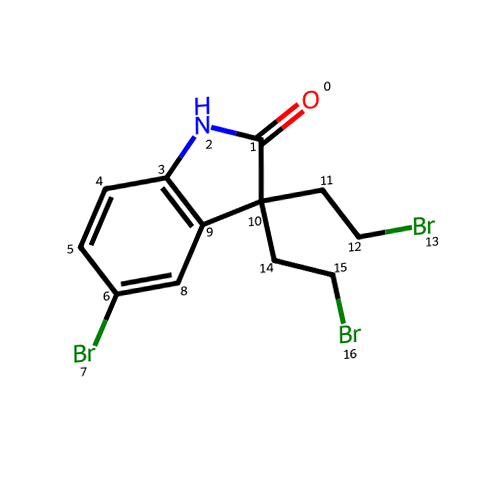 O=C1Nc2ccc(Br)cc2C1(CCBr)CCBr